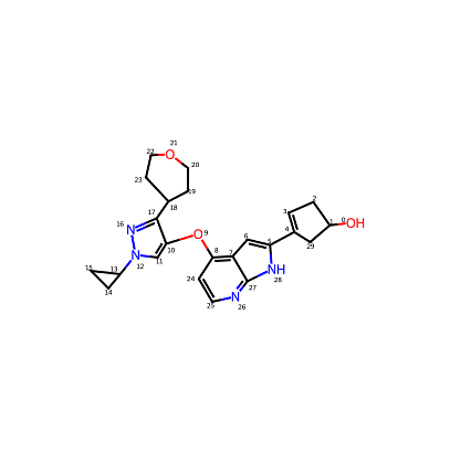 OC1CC=C(c2cc3c(Oc4cn(C5CC5)nc4C4CCOCC4)ccnc3[nH]2)C1